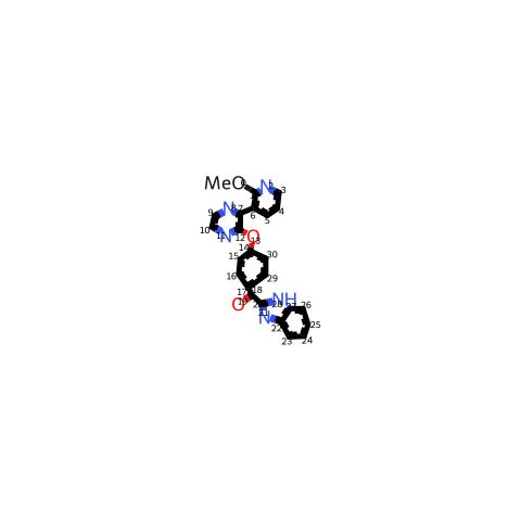 COc1ncccc1-c1nccnc1Oc1ccc(C(=O)c2nc3ccccc3[nH]2)cc1